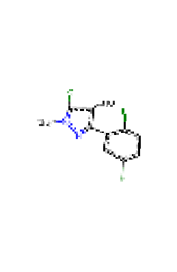 CC(C)(C)n1nc(-c2cc(F)ccc2F)c(C=O)c1Cl